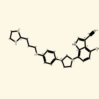 Cc1ccc(N2CC[C@@H](c3ccc(OCCCC4OCCO4)cc3)C2)c2[nH]cc(C#N)c12